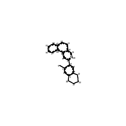 Cc1cc2c(cc1-c1cc3c(ccc4ccccc43)cn1)CCCC2